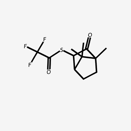 CC12CCC(C(SC(=O)C(F)(F)F)C1=O)C2(C)C